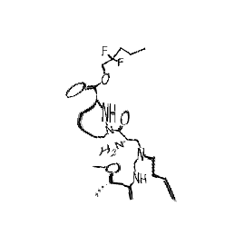 C=CCCN(CNC(=C)[C@H](C)OC)C[C@H](N)C(=O)N1CCC[C@@H](C(=O)OCC(F)(F)CCC)N1